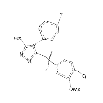 COc1cc(C(C)(C)c2nnc(S)n2-c2ccc(F)cc2)ccc1Cl